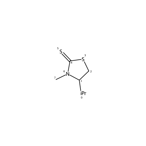 CC(C)C1CSC(=S)N1C